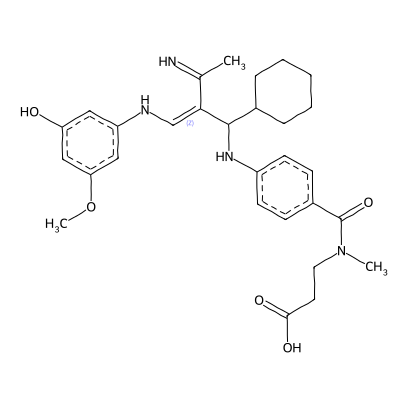 COc1cc(O)cc(N/C=C(\C(C)=N)C(Nc2ccc(C(=O)N(C)CCC(=O)O)cc2)C2CCCCC2)c1